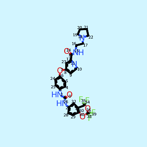 O=C(Nc1ccc(Oc2ccnc(C(=O)NCCN3CCCC3)c2)cc1)Nc1ccc2c(c1)C(F)(F)OC(F)(F)O2